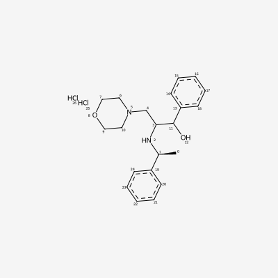 C[C@H](NC(CN1CCOCC1)C(O)c1ccccc1)c1ccccc1.Cl.Cl